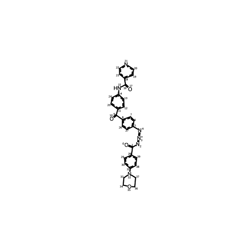 O=C(N=[N+]=Nc1ccc(C(=O)c2ccc(NC(=O)c3ccncc3)cc2)cc1)c1ccc(N2CCOCC2)cc1